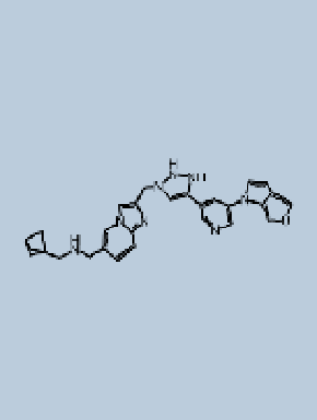 C1=C(c2cncc(-n3ccc4cocc43)c2)NNN1Cc1cn2cc(CNCC34CC(C3)C4)ccc2n1